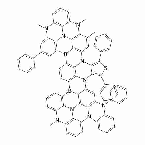 Cc1cc2c3c4c1N(C)c1cccc5c1N4c1c(cc(-c4ccccc4)cc1N5C)B3c1ccc3c4c1N2c1c(-c2ccccc2)sc(-c2ccccc2)c1N4c1cc(N(c2ccccc2)c2ccccc2)c2c4c1B3c1cccc3c1N4c1c(cccc1N2C)N3C